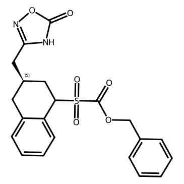 O=C(OCc1ccccc1)S(=O)(=O)C1C[C@H](Cc2noc(=O)[nH]2)Cc2ccccc21